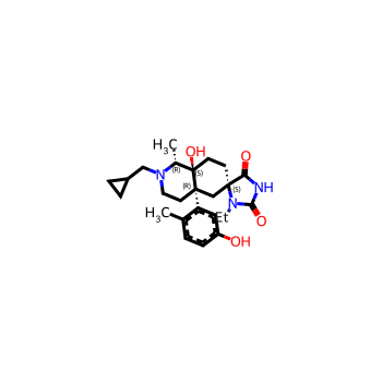 CCN1C(=O)NC(=O)[C@@]12CC[C@@]1(O)[C@@H](C)N(CC3CC3)CC[C@]1(c1cc(O)ccc1C)C2